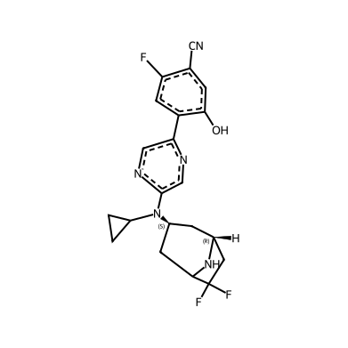 N#Cc1cc(O)c(-c2cnc(N(C3CC3)[C@@H]3CC4N[C@H](C3)CC4(F)F)cn2)cc1F